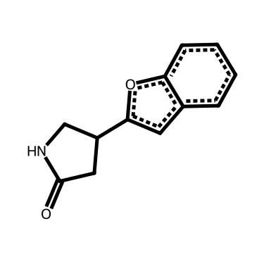 O=C1CC(c2cc3ccccc3o2)CN1